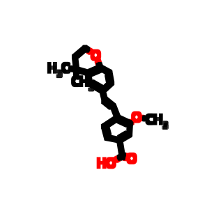 COc1cc(C(=O)O)ccc1/C=C/c1ccc2c(c1)C(C)(C)CCO2